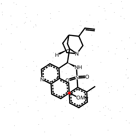 C=CC1CN2CCC1C[C@H]2[C@@H](NS(=O)(=O)c1ccccc1C)c1ccnc2ccc(OC)cc12